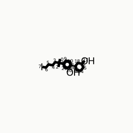 CC(C)(CCCCI)c1ccc([C@H]2CCCC(O)C2)c(O)c1